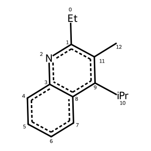 CCc1nc2ccccc2c(C(C)C)c1C